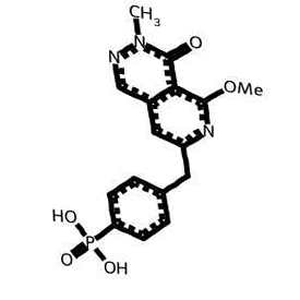 COc1nc(Cc2ccc(P(=O)(O)O)cc2)cc2cnn(C)c(=O)c12